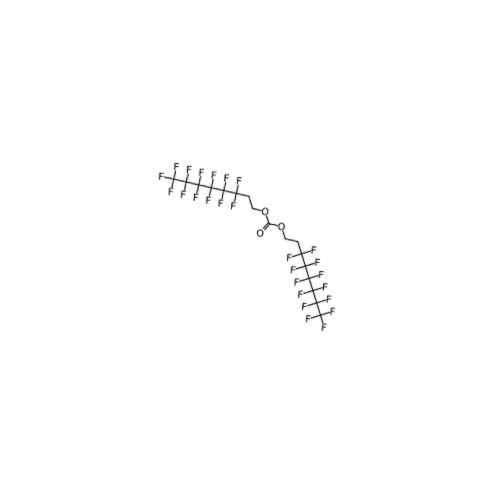 O=C(OCCC(F)(F)C(F)(F)C(F)(F)C(F)(F)C(F)(F)C(F)(F)F)OCCC(F)(F)C(F)(F)C(F)(F)C(F)(F)C(F)(F)C(F)(F)F